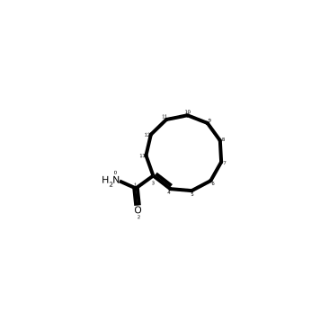 NC(=O)C1=CCCCCCCCCC1